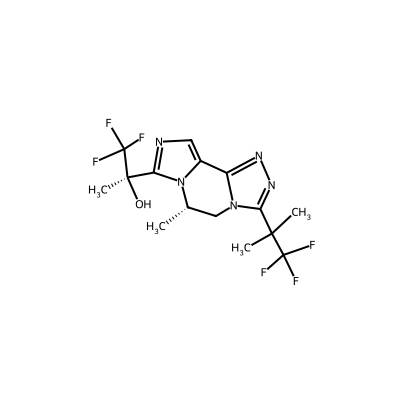 C[C@H]1Cn2c(nnc2C(C)(C)C(F)(F)F)-c2cnc([C@@](C)(O)C(F)(F)F)n21